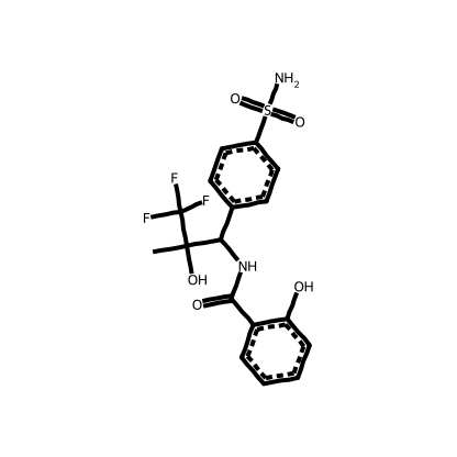 CC(O)(C(NC(=O)c1ccccc1O)c1ccc(S(N)(=O)=O)cc1)C(F)(F)F